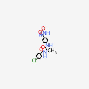 C[C@@H](NC(=O)c1ccc(Cl)cc1)C(=O)Nc1ccc(-c2noc(=O)[nH]2)cc1